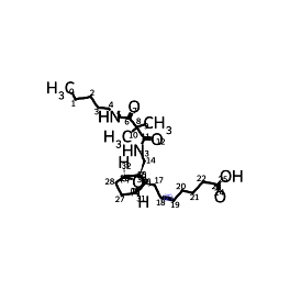 CCCCCNC(=O)C(C)(C)C(=O)NC[C@H]1[C@@H](C/C=C\CCCC(=O)O)[C@H]2CC[C@@H]1O2